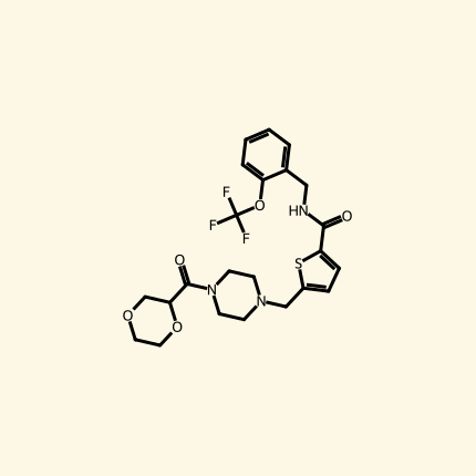 O=C(NCc1ccccc1OC(F)(F)F)c1ccc(CN2CCN(C(=O)C3COCCO3)CC2)s1